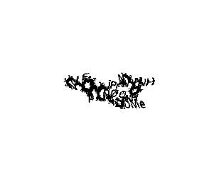 CO[C@@]1(C(=O)Nc2ccc3[nH]nc(-c4ccnc(C(C)C)n4)c3c2)CCN(CC(=O)N2CC=C(c3cc(F)c(-c4ncccn4)cc3F)CC2)C1